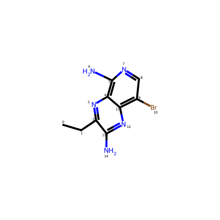 CCc1nc2c(N)ncc(Br)c2nc1N